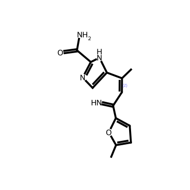 C/C(=C/C(=N)c1ccc(C)o1)c1cnc(C(N)=O)[nH]1